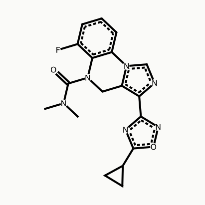 CN(C)C(=O)N1Cc2c(-c3noc(C4CC4)n3)ncn2-c2cccc(F)c21